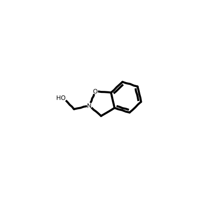 OCN1Cc2ccccc2O1